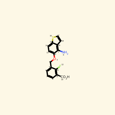 Nc1c(OCc2cccc(C(=O)O)c2F)ccc2sccc12